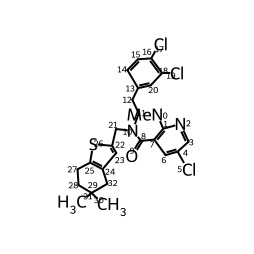 CNc1ncc(Cl)cc1C(=O)N(CCc1ccc(Cl)c(Cl)c1)Cc1cc2c(s1)CCC(C)(C)C2